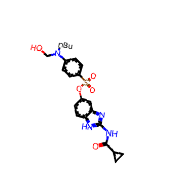 CCCCN(CO)c1ccc(S(=O)(=O)Oc2ccc3[nH]c(NC(=O)C4CC4)nc3c2)cc1